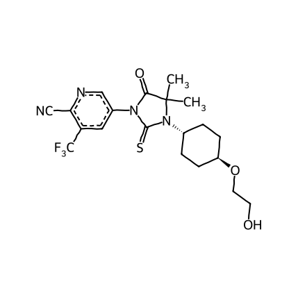 CC1(C)C(=O)N(c2cnc(C#N)c(C(F)(F)F)c2)C(=S)N1[C@H]1CC[C@H](OCCO)CC1